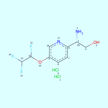 Cl.Cl.N[C@H](CO)c1ccc(OC(F)C(F)F)cn1